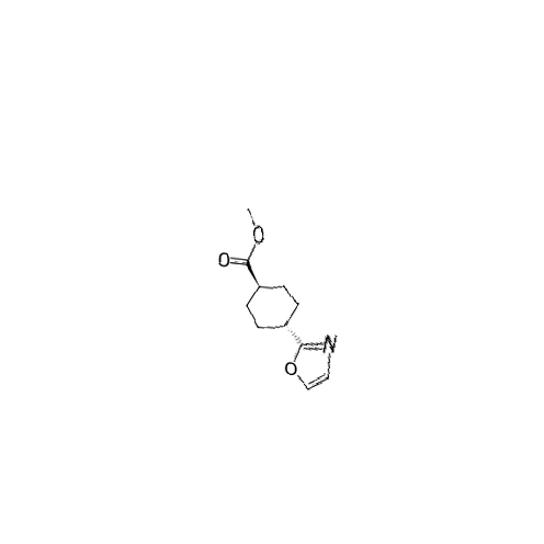 COC(=O)[C@H]1CC[C@H](c2ncco2)CC1